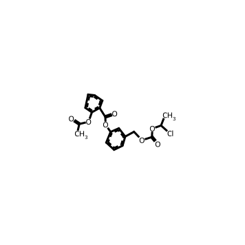 CC(=O)Oc1ccccc1C(=O)Oc1cccc(COC(=O)OC(C)Cl)c1